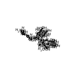 CSC[C@H](NC(=O)[C@H](CCC(=O)NC[C@H](O)[C@@H](O)[C@H](O)[C@H](O)CO)NC(=O)[C@H](CCC(=O)O)NC(=O)[C@H](CCC(=O)NC[C@H](O)[C@@H](O)[C@H](O)[C@H](O)CO)NC(=O)[C@H](CCC(=O)NC[C@H](O)[C@@H](O)[C@H](O)[C@H](O)CO)NC(=O)[C@H](CCC(=O)O)NC(=O)[C@H](CCC(=O)NC[C@H](O)[C@@H](O)[C@H](O)[C@H](O)CO)NC(=O)CC[C@H](NC(=O)c1ccc(NCc2cnc3nc(N)[nH]c(=O)c3n2)cc1)C(=O)O)C(=O)O